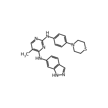 Cc1cnc(Nc2ccc(N3CCSCC3)cc2)nc1Nc1ccc2cn[nH]c2c1